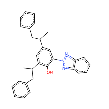 CC(Cc1ccccc1)c1cc(C(C)Cc2ccccc2)c(O)c(-n2nc3ccccc3n2)c1